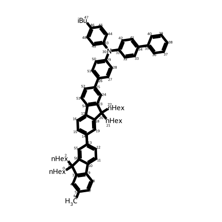 CCCCCCC1(CCCCCC)c2cc(C)ccc2-c2ccc(-c3ccc4c(c3)C(CCCCCC)(CCCCCC)c3cc(-c5ccc(N(c6ccc(-c7ccccc7)cc6)c6ccc(C(C)CC)cc6)cc5)ccc3-4)cc21